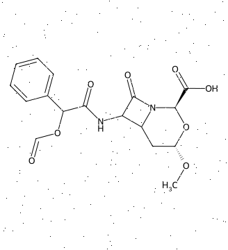 CO[C@@H]1CC2C(NC(=O)C(OC=O)c3ccccc3)C(=O)N2[C@@H](C(=O)O)O1